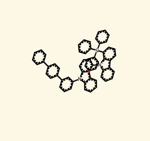 c1ccc(-c2ccc(-c3cccc(-n4c5ccccc5c5c(-n6c7ccccc7c7cccc([Si](c8ccccc8)(c8ccccc8)c8ccccc8)c76)cccc54)c3)cc2)cc1